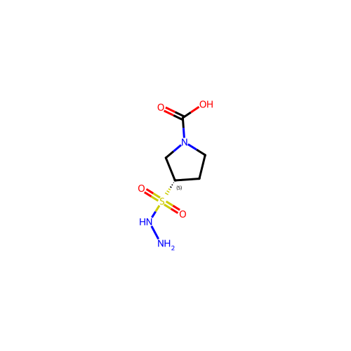 NNS(=O)(=O)[C@H]1CCN(C(=O)O)C1